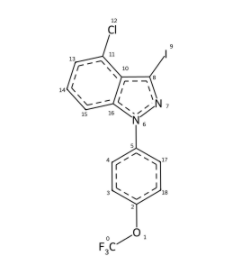 FC(F)(F)Oc1ccc(-n2nc(I)c3c(Cl)cccc32)cc1